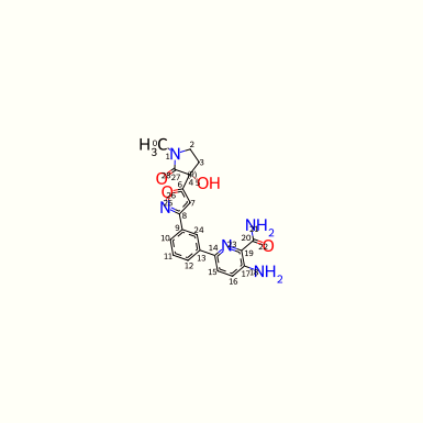 CN1CC[C@@](O)(c2cc(-c3cccc(-c4ccc(N)c(C(N)=O)n4)c3)no2)C1=O